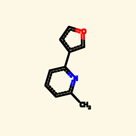 Cc1cccc(-c2ccoc2)n1